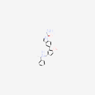 COc1ccc(CN[C@H](C)c2ccccc2)cc1-c1ccc2c(ccn2C(=O)CN)c1